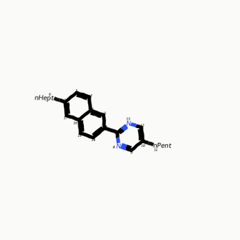 CCCCCCCc1ccc2cc(-c3ncc(CCCCC)cn3)ccc2c1